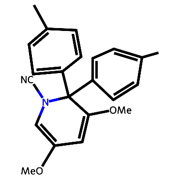 COC1=CN(C#N)C(c2ccc(C)cc2)(c2ccc(C)cc2)C(OC)=C1